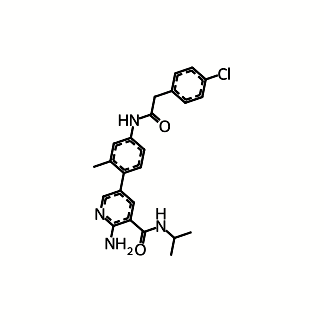 Cc1cc(NC(=O)Cc2ccc(Cl)cc2)ccc1-c1cnc(N)c(C(=O)NC(C)C)c1